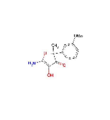 COc1cccc(C2(C)OC(N)=C(O)C2=O)c1